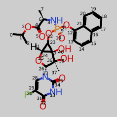 CC(C)OC(=O)[C@@H](C)NP(=O)(Oc1cccc2ccccc12)OC1[C@H]2O[C@@H](n3cc(F)c(=O)[nH]c3=O)[C@](C)(O)[C@@]12O